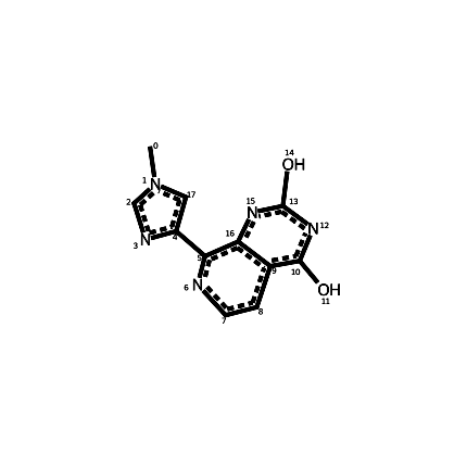 Cn1cnc(-c2nccc3c(O)nc(O)nc23)c1